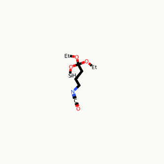 CCOC(CCCN=C=O)(O[SiH3])OCC